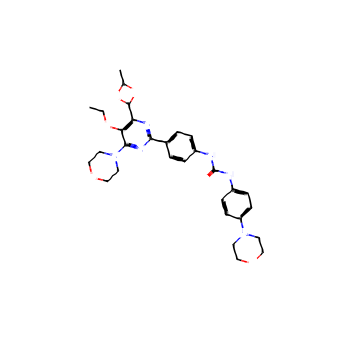 CCOc1c(C2OC(C)O2)nc(-c2ccc(NC(=O)Nc3ccc(N4CCOCC4)cc3)cc2)nc1N1CCOCC1